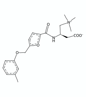 Cc1cccc(OCc2ccc(C(=O)N[C@H](CC(=O)[O-])C[N+](C)(C)C)o2)c1